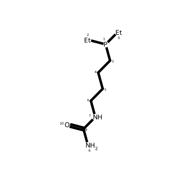 CCP(CC)CCCCNC(N)=O